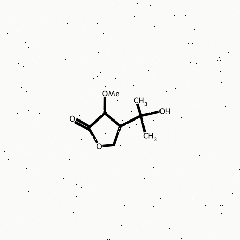 COC1C(=O)OCC1C(C)(C)O